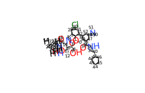 COc1c(CN2O[C@@H](CO)[C@@H]([C@H](C)O)C2C(=O)N[C@H]2C[C@H]3C[C@@H]([C@@H]2C)C3(C)C)cc(Cl)cc1-c1cc(C(=O)NCCc2ccccc2)cc(N(C)C)c1